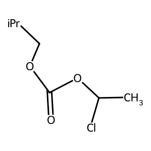 CC(C)COC(=O)OC(C)Cl